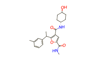 CNC(=O)c1cc(C(=O)N[C@H]2CC[C@H](O)CC2)c(C(C)c2cccc(C)c2)o1